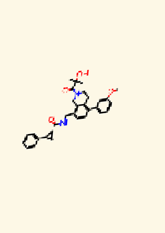 COc1cccc(-c2ccc(CNC(=O)[C@@H]3C[C@H]3c3ccccc3)c3c2CCN(C(=O)C(C)(C)O)C3)c1